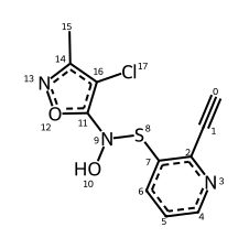 C#Cc1ncccc1SN(O)c1onc(C)c1Cl